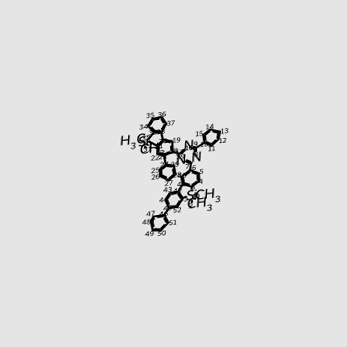 C[Si]1(C)c2ccc(-c3nc(-c4ccccc4)nc(-c4cc5c(cc4-c4ccccc4)[Si](C)(C)c4ccccc4-5)n3)cc2-c2ccc(-c3ccccc3)cc21